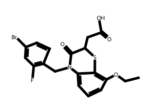 CCOc1cccc2c1SC(CC(=O)O)C(=O)N2Cc1ccc(Br)cc1F